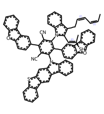 C/C=C\C=C/Cc1c(/C=C(\C)S)n(-c2c(C#N)c(-c3ccc4oc5ccccc5c4c3)c(C#N)c(-n3c4ccccc4c4cc5c(cc43)sc3ccccc35)c2-c2ccc3oc4ccccc4c3c2)c2ccccc12